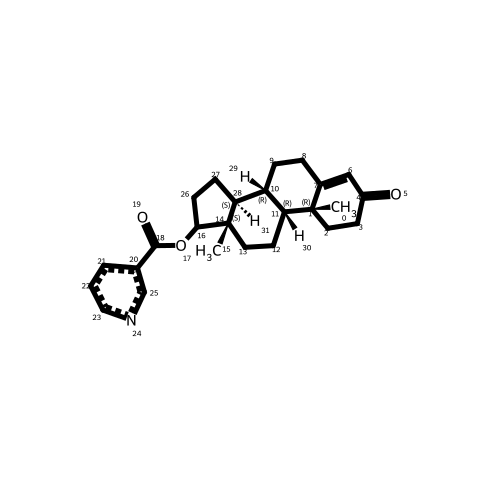 C[C@]12CCC(=O)C=C1CC[C@@H]1[C@H]2CC[C@]2(C)C(OC(=O)c3cccnc3)CC[C@@H]12